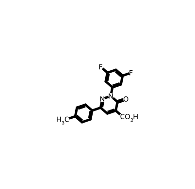 Cc1ccc(-c2cc(C(=O)O)c(=O)n(-c3cc(F)cc(F)c3)n2)cc1